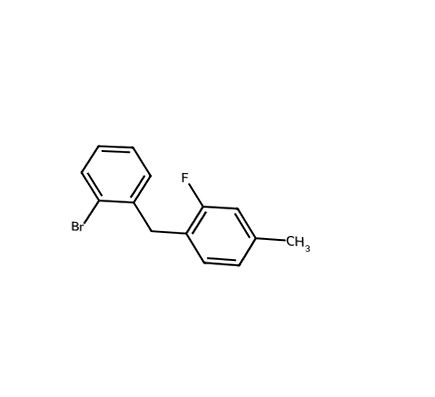 Cc1ccc(Cc2ccccc2Br)c(F)c1